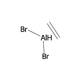 C=C.[Br][AlH][Br]